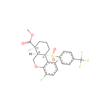 COC(=O)[C@@]1(C)CCC[C@@]2(S(=O)(=O)c3ccc(C(F)(F)F)cc3)c3c(F)ccc(F)c3OC[C@@H]12